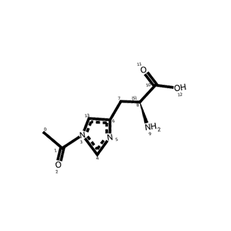 CC(=O)n1cnc(C[C@H](N)C(=O)O)c1